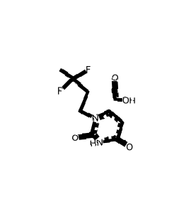 CC(F)(F)CCn1ccc(=O)[nH]c1=O.O=CO